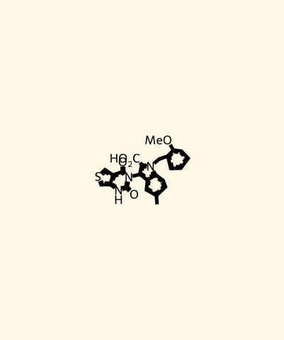 COc1ccccc1Cn1c(C(=O)O)c(-n2c(=O)[nH]c3cscc3c2=O)c2cc(C)ccc21